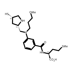 COCCCN(C[C@@H]1C[C@H](S)CN1)c1cccc(C(=O)N[C@@H](CCSC)C(=O)O)c1